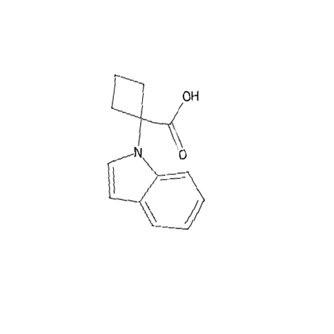 O=C(O)C1(n2ccc3ccccc32)CCC1